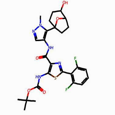 Cn1ncc(NC(=O)c2nc(-c3c(F)cccc3F)sc2NC(=O)OC(C)(C)C)c1C12CCC(O)C(CC1)O2